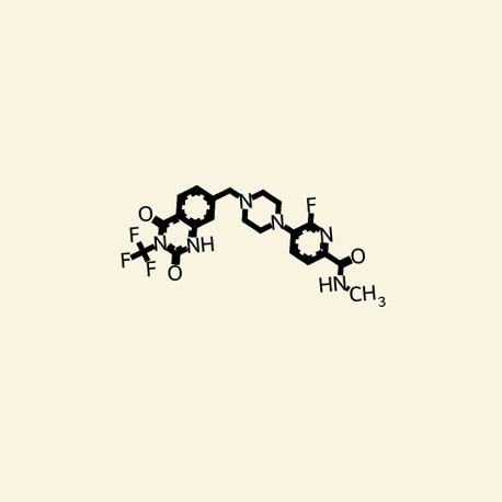 CNC(=O)c1ccc(N2CCN(Cc3ccc4c(=O)n(C(F)(F)F)c(=O)[nH]c4c3)CC2)c(F)n1